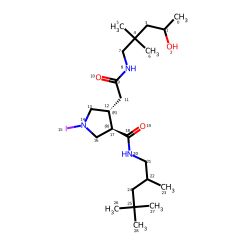 CC(O)CC(C)(C)CNC(=O)C[C@H]1CN(I)C[C@@H]1C(=O)NCC(C)CC(C)(C)C